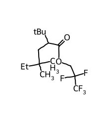 CCC(C)(C)CC(C(=O)OCC(F)(F)C(F)(F)F)C(C)(C)C